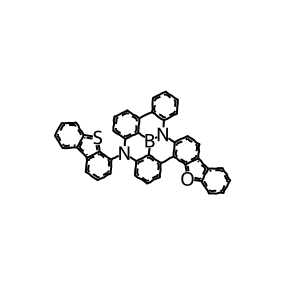 c1ccc2c(c1)-c1cccc3c1B1c4c(cccc4N3c3cccc4c3sc3ccccc34)-c3c(ccc4c3oc3ccccc34)N12